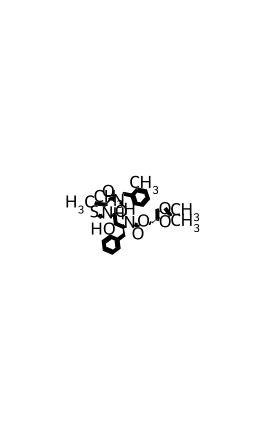 Cc1ccccc1CNC(=O)[C@H]1N(C(=O)[C@@H](O)[C@H](Cc2ccccc2)NC(=O)OC[C@@H]2COC(C)(C)O2)CSC1(C)C